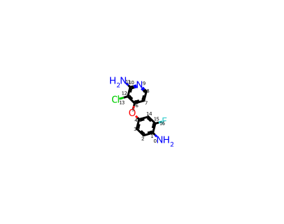 Nc1ccc(Oc2ccnc(N)c2Cl)cc1F